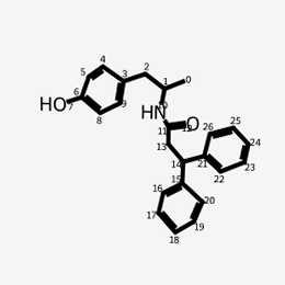 CC(Cc1ccc(O)cc1)NC(=O)CC(c1ccccc1)c1ccccc1